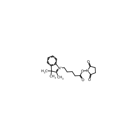 CC1=[N+](CCCCC(=O)ON2C(=O)CCC2=O)c2ccccc2C1(C)C